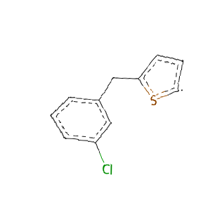 Clc1cccc(Cc2cc[c]s2)c1